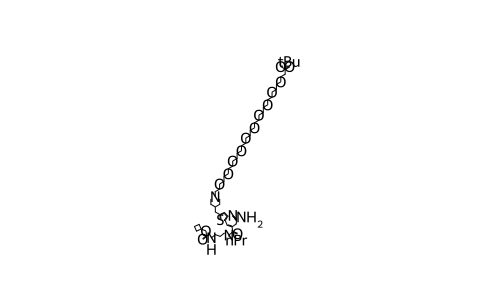 CCCN(CCCNC(=O)OC1CCC1)C(=O)C1=Cc2sc(CC3CCN(CCOCCOCCOCCOCCOCCOCCOCCOCCOCCOCCC(=O)OC(C)(C)C)CC3)cc2N=C(N)C1